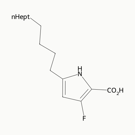 CCCCCCCCCCCc1cc(F)c(C(=O)O)[nH]1